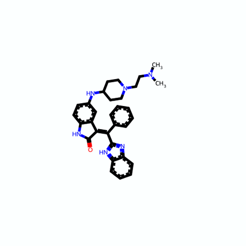 CN(C)CCN1CCC(Nc2ccc3c(c2)C(=C(c2ccccc2)c2nc4ccccc4[nH]2)C(=O)N3)CC1